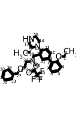 CCOc1ccccc1-c1ccc(N2CCNC[C@H]2CC)c(CN(CCOCc2ccccc2)OC(=O)C(F)(F)F)c1